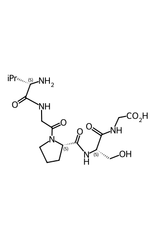 CC(C)[C@H](N)C(=O)NCC(=O)N1CCC[C@H]1C(=O)N[C@@H](CO)C(=O)NCC(=O)O